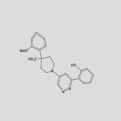 COc1ccccc1C1(C(=O)O)CCN(c2cnnc(-c3ccccc3O)c2)CC1